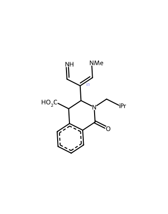 CN/C=C(\C=N)C1C(C(=O)O)c2ccccc2C(=O)N1CC(C)C